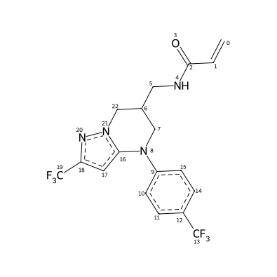 C=CC(=O)NCC1CN(c2ccc(C(F)(F)F)cc2)c2cc(C(F)(F)F)nn2C1